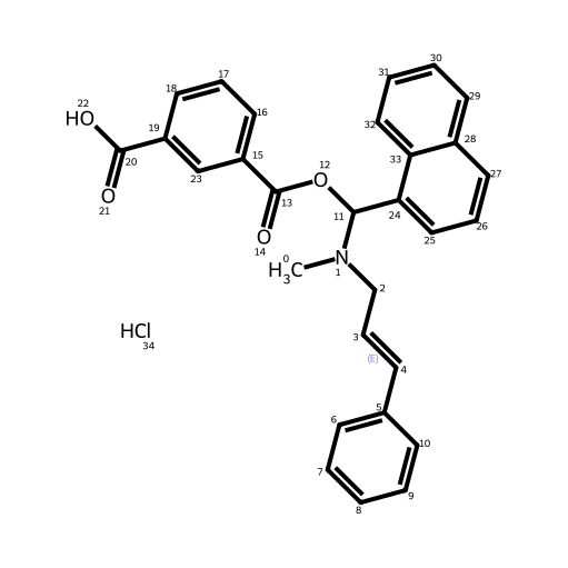 CN(C/C=C/c1ccccc1)C(OC(=O)c1cccc(C(=O)O)c1)c1cccc2ccccc12.Cl